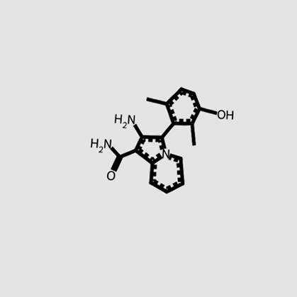 Cc1ccc(O)c(C)c1-c1c(N)c(C(N)=O)c2ccccn12